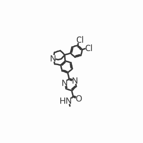 CNC(=O)c1cnc(-c2ccc3c(c2)CN2CCC3(c3ccc(Cl)c(Cl)c3)CC2)nc1